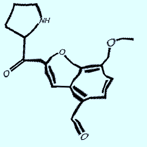 COc1ccc(C=O)c2cc(C(=O)C3CCCN3)oc12